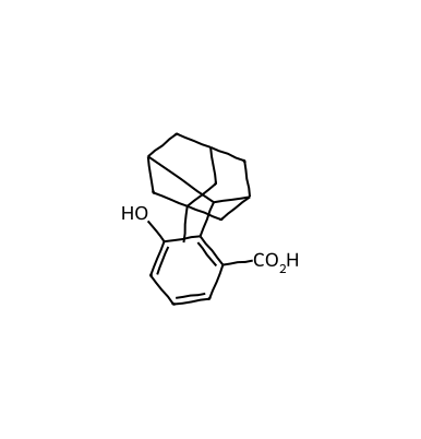 CC12CC3CC(C1)C(c1c(O)cccc1C(=O)O)C(C3)C2